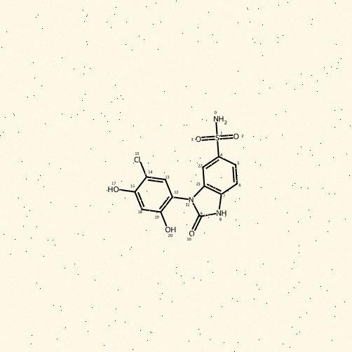 NS(=O)(=O)c1ccc2[nH]c(=O)n(-c3cc(Cl)c(O)cc3O)c2c1